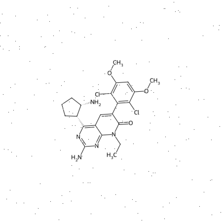 CCn1c(=O)c(-c2c(Cl)c(OC)cc(OC)c2Cl)cc2c([C@@H]3CCC[C@@H]3N)nc(N)nc21